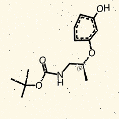 C[C@@H](CNC(=O)OC(C)(C)C)Oc1cccc(O)c1